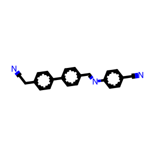 N#CCc1ccc(-c2ccc(C=Nc3ccc(C#N)cc3)cc2)cc1